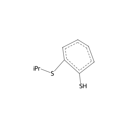 CC(C)Sc1ccccc1S